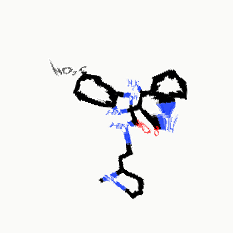 CN1CCCC1CCNC(=O)C1(c2c(N)c3ccccc3[nH]c2=O)Nc2ccc(C(=O)O)cc2N1